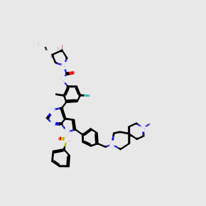 Cc1c(NC(=O)N2C[C@H](CC(C)C)[C@@H](O)C2)cc(F)cc1-c1ncnc2c1cc(-c1ccc(CN3CCC4(CC3)CCN(C(=O)O)CC4)cc1)n2S(=O)(=O)c1ccccc1